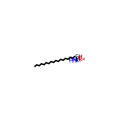 C.CCCCCCCCCCCCCCCCCC.N=C=O.N=C=O